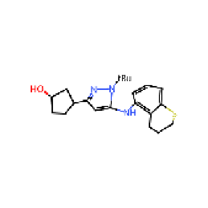 CC(C)(C)n1nc([C@H]2CC[C@@H](O)C2)cc1Nc1cccc2c1CCCS2